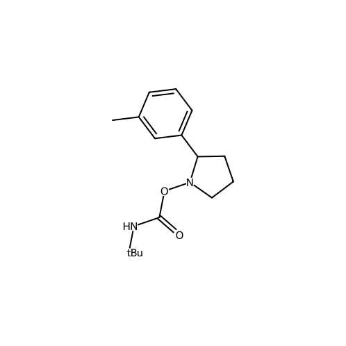 Cc1cccc(C2CCCN2OC(=O)NC(C)(C)C)c1